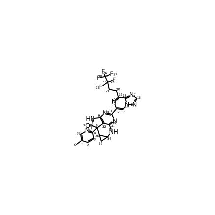 Cc1ccc(C23C(=O)Nc4nc(-c5cn6ncnc6c(CCC(F)(F)C(F)(F)F)n5)nc(c42)NC2CC23)nc1